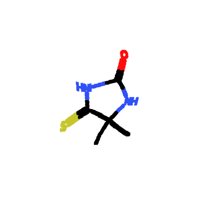 CC1(C)NC(=O)NC1=S